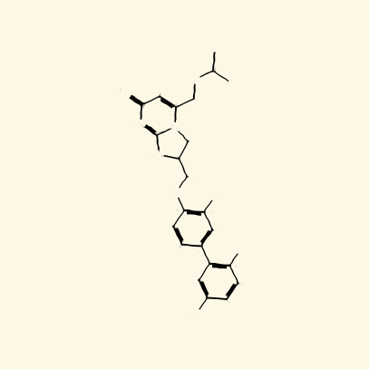 CC(C)OCc1cc(=O)nc2n1CC(COc1ccc(-c3cc(F)ccc3F)cc1F)O2